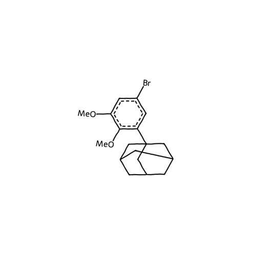 COc1cc(Br)cc(C23CC4CC(CC(C4)C2)C3)c1OC